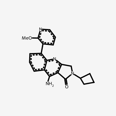 COc1ncccc1-c1cccc2c(N)c3c(nc12)CN(C1CCC1)C3=O